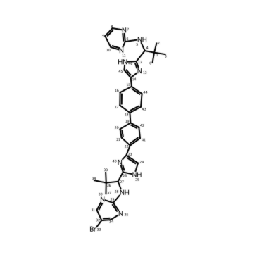 CC(C)(C)C(Nc1ncccn1)c1nc(-c2ccc(-c3ccc(-c4c[nH]c(C(Nc5ncc(Br)cn5)C(C)(C)C)n4)cc3)cc2)c[nH]1